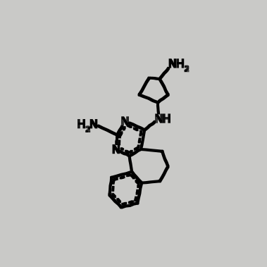 Nc1nc(NC2CCC(N)C2)c2c(n1)-c1ccccc1CCC2